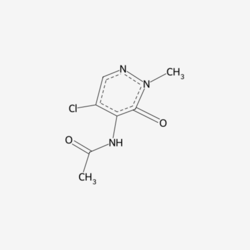 CC(=O)Nc1c(Cl)cnn(C)c1=O